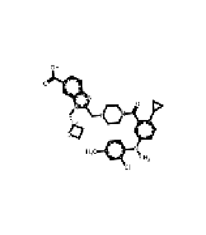 Cc1ccc(N(C)c2ccc(C3CC3)c(C(=O)N3CCN(Cc4nc5ccc(C(=O)O)cc5n4C[C@@H]4CCO4)CC3)c2)c(Cl)c1